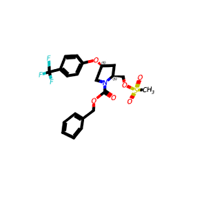 CS(=O)(=O)OC[C@@H]1C[C@H](Oc2ccc(C(F)(F)F)cc2)CN1C(=O)OCc1ccccc1